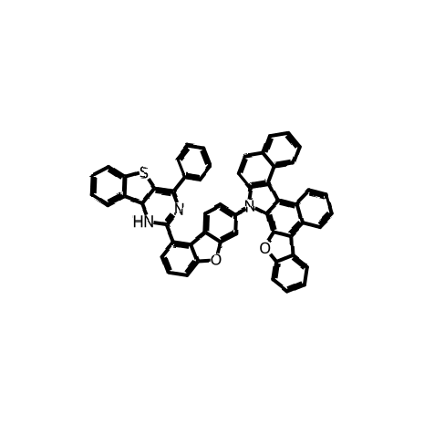 c1ccc(C2=C3Sc4ccccc4C3NC(c3cccc4oc5cc(-n6c7ccc8ccccc8c7c7c8ccccc8c8c9ccccc9oc8c76)ccc5c34)=N2)cc1